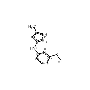 Cc1cc(Nc2cccc(CI)n2)n[nH]1